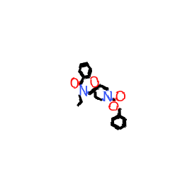 CCCN1CC2(CCN(C(=O)OCc3ccccc3)CC2)Oc2ccccc2C1=O